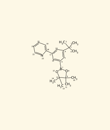 CC(C)(C)c1cc(B2OC(C)(C)C(C)(C)O2)cc(-c2ccccn2)c1